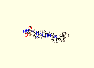 O=C1NC(=O)/C(=C/c2ccnc(N3CCC(CNCc4cccc(-c5cccc(C(F)(F)F)c5)n4)CC3)n2)S1